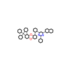 c1ccc(-c2nc(-c3ccc4ccccc4c3)cc(-c3ccccc3-c3cccc4c3Oc3c(ccc5c3-c3ccccc3C5(c3ccccc3)c3ccccc3)O4)n2)cc1